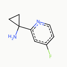 NC1(c2cc(F)ccn2)CC1